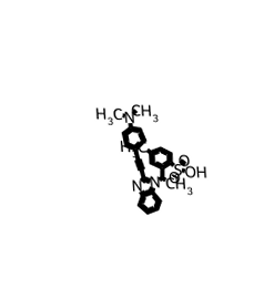 Cc1ccc(S(=O)(=O)O)c(C(C)n2c(C#Cc3ccc(N(C)C)cc3)nc3ccccc32)c1